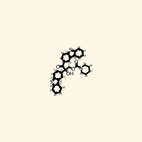 O=C(OCC(O)(C(=O)c1ccc2sc3ccccc3c2c1)c1ccc2sc3ccccc3c2c1)N1CCCCC1